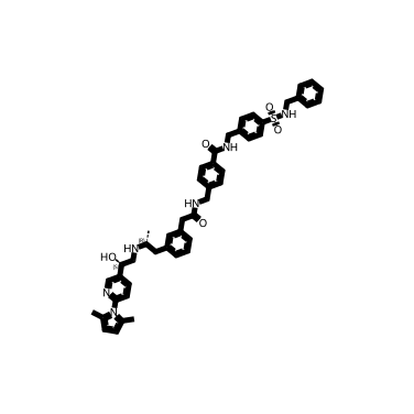 Cc1ccc(C)n1-c1ccc([C@H](O)CN[C@H](C)Cc2cccc(CC(=O)NCc3ccc(C(=O)NCc4ccc(S(=O)(=O)NCc5ccccc5)cc4)cc3)c2)cn1